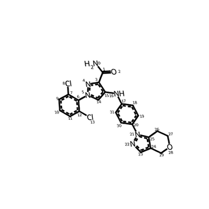 NC(=O)c1nn(-c2c(Cl)cccc2Cl)cc1Nc1ccc(-n2ncc3c2CCOC3)cc1